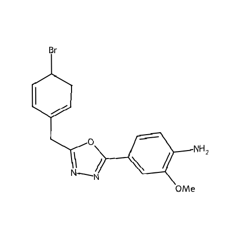 COc1cc(-c2nnc(CC3=CCC(Br)C=C3)o2)ccc1N